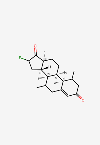 CC1CC2=CC(=O)CC(C)[C@]2(C)[C@@H]2CC[C@]3(C)C(=O)C(F)C[C@H]3[C@H]12